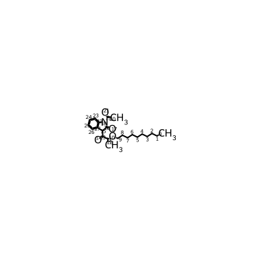 CCCCCCCCCCOC(C)C(=O)C1C(=O)N(C(C)=O)c2ccccc21